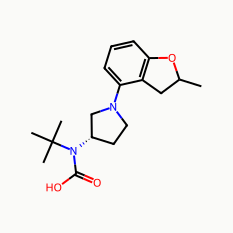 CC1Cc2c(cccc2N2CC[C@H](N(C(=O)O)C(C)(C)C)C2)O1